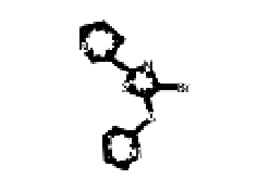 Brc1nc(-c2cccnc2)sc1Sc1ccccn1